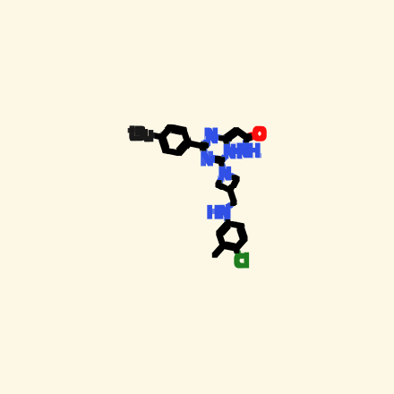 Cc1cc(NCC2CN(c3nc(-c4ccc(C(C)(C)C)cc4)nc4cc(=O)[nH]n34)C2)ccc1Cl